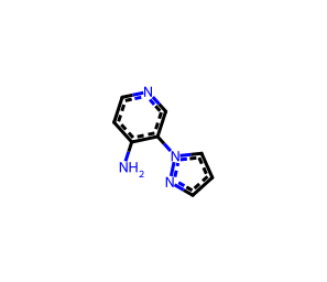 Nc1ccncc1-n1cccn1